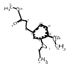 CCOc1cc(CCC(=O)OC)ccc1OC